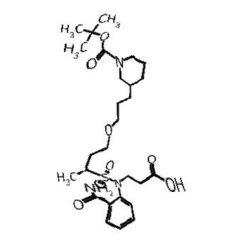 C[C@@H](CCOCCCC1CCCN(C(=O)OC(C)(C)C)C1)S(=O)(=O)N(CCC(=O)O)c1ccccc1C(N)=O